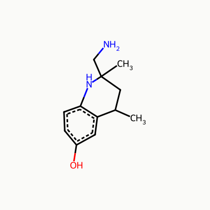 CC1CC(C)(CN)Nc2ccc(O)cc21